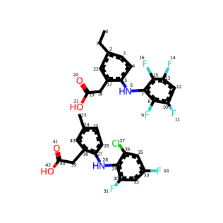 CCc1ccc(Nc2c(F)c(F)cc(F)c2F)c(CC(=O)O)c1.Cc1ccc(Nc2c(F)cc(F)cc2Cl)c(CC(=O)O)c1